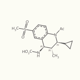 CC(=O)N1c2ccc(S(C)(=O)=O)cc2[C@H](NC(=O)O)[C@@H](C)[C@@H]1C1CC1